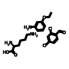 CCOc1cccc(N)c1.NCCCC[C@H](N)C(=O)O.O=Cc1ccc(Cl)cc1Cl